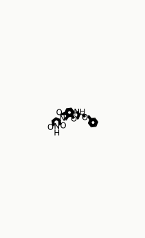 O=C1CCC(N2Cc3c(ccc4c3OC[C@@H](COCc3ccccc3)N4)C2=O)C(=O)N1